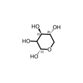 OC1[C@@H](O)[C@H](O)CO[C@@H]1O